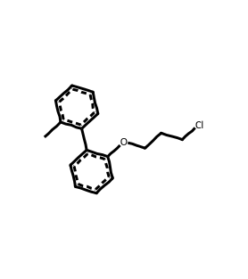 Cc1ccccc1-c1ccccc1OCCCCl